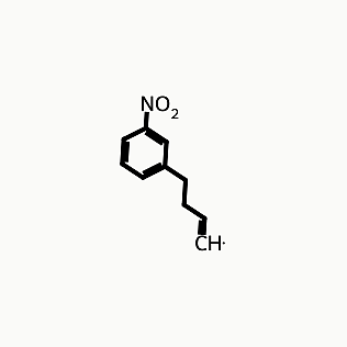 [CH]=CCCc1cccc([N+](=O)[O-])c1